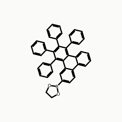 c1ccc(-c2c(-c3ccccc3)c(-c3ccccc3)c3c4cc(B5OCCO5)ccc4c4ccccc4c3c2-c2ccccc2)cc1